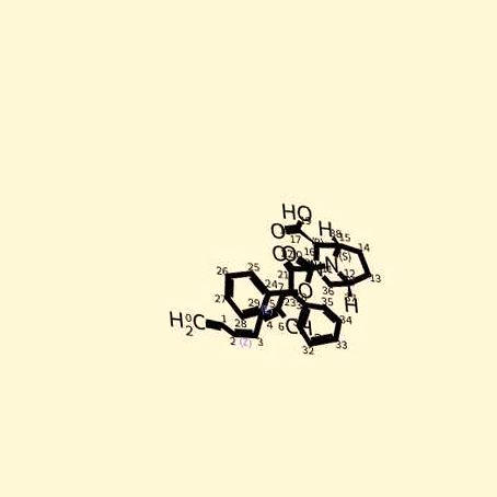 C=C/C=C\C=C(/C)COC(=O)N1[C@@H]2CC[C@H]1[C@H](C(=O)O)N(C(=O)C(c1ccccc1)c1ccccc1)C2